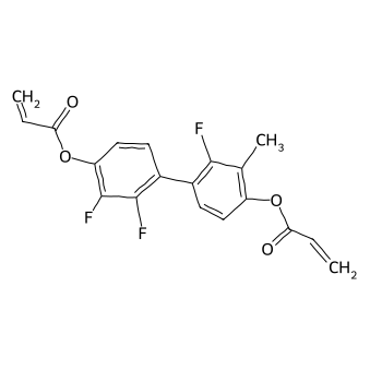 C=CC(=O)Oc1ccc(-c2ccc(OC(=O)C=C)c(F)c2F)c(F)c1C